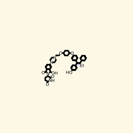 CC/C(=C(\c1ccc(O)cc1)c1ccc(OC2CCC(OCCN3CCN(c4ccc5c(c4)C(O)N(C4CCC(=O)NC4=O)C5=O)CC3)CC2)cc1)c1ccccc1